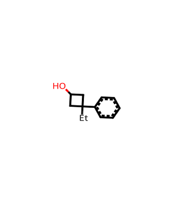 CCC1(c2ccccc2)CC(O)C1